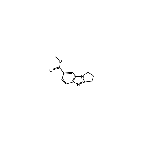 COC(=O)c1ccc2nc3n(c2c1)CCC3